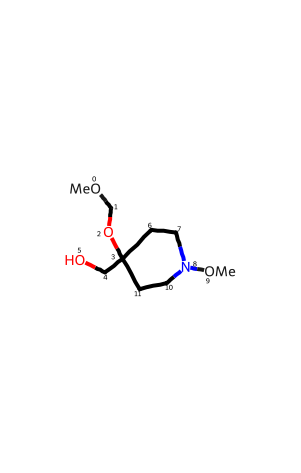 COCOC1(CO)CCN(OC)CC1